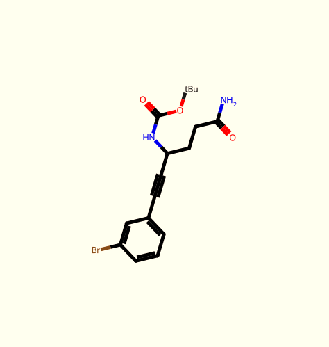 CC(C)(C)OC(=O)NC(C#Cc1cccc(Br)c1)CCC(N)=O